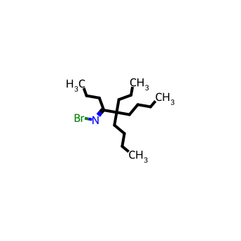 CCCCC(CCC)(CCCC)C(CCC)=NBr